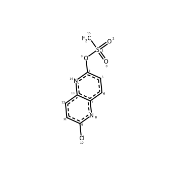 O=S(=O)(Oc1ccc2nc(Cl)ccc2n1)C(F)(F)F